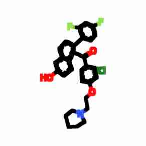 Cl.O=C(c1ccc(OCCN2CCCCC2)cc1)c1c(-c2ccc(F)cc2F)ccc2cc(O)ccc12